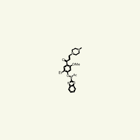 CCc1cc(C(=O)C=CN2CCN(C)CC2)c(OC)cc1ON(C(C)=O)c1nc2ccccc2s1